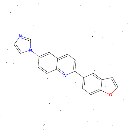 c1cn(-c2ccc3nc(-c4ccc5occc5c4)ccc3c2)cn1